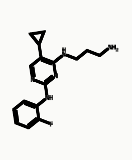 NCCCNc1nc(Nc2ccccc2F)ncc1C1CC1